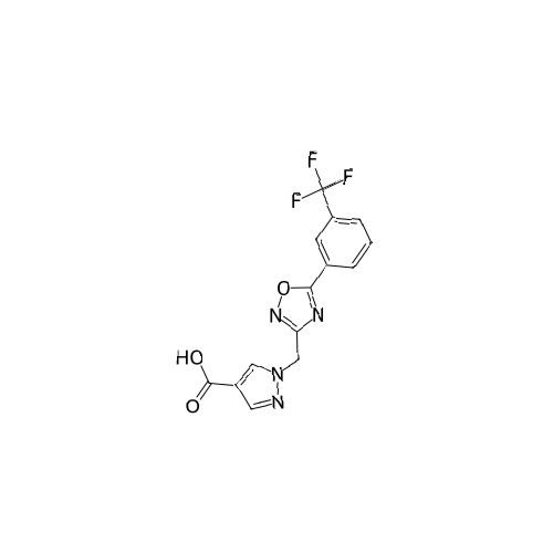 O=C(O)c1cnn(Cc2noc(-c3cccc(C(F)(F)F)c3)n2)c1